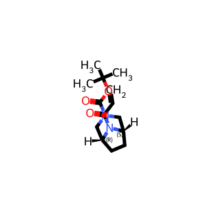 C=CC(=O)N1[C@@H]2CC[C@H]1CN(C(=O)OC(C)(C)C)C2